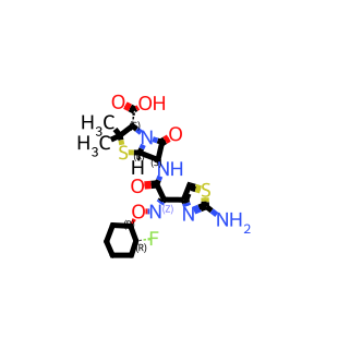 CC1(C)S[C@@H]2[C@@H](NC(=O)/C(=N\O[C@@H]3CCCC[C@H]3F)c3csc(N)n3)C(=O)N2[C@H]1C(=O)O